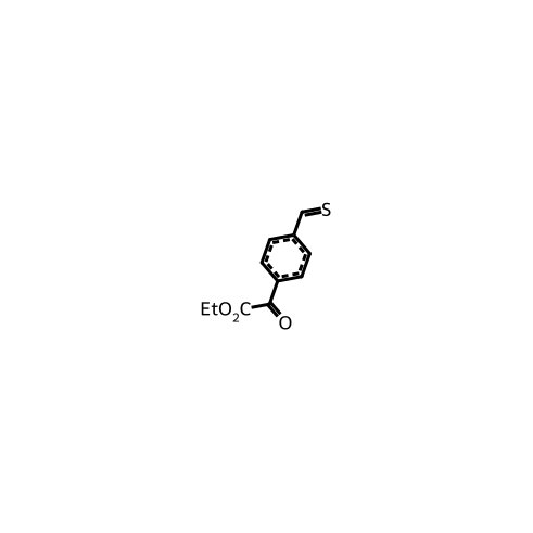 CCOC(=O)C(=O)c1ccc(C=S)cc1